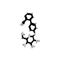 N#Cc1ccccc1-c1ccc(OC2OC(CO)C(O)C(O)C2O)cc1